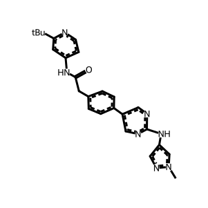 Cn1cc(Nc2ncc(-c3ccc(CC(=O)Nc4ccnc(C(C)(C)C)c4)cc3)cn2)cn1